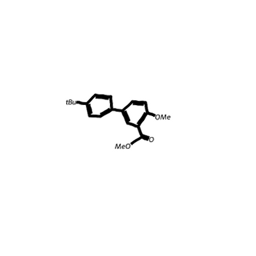 COC(=O)c1cc(-c2ccc(C(C)(C)C)cc2)ccc1OC